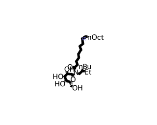 CCCCCCCC/C=C\CCCCCCCC(=O)N(CC(CC)CCCC)[C@@H]1O[C@H](CO)[C@@H](O)[C@H](O)[C@H]1O